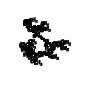 CC(=O)O[C@H]1C[C@@H]2CC[C@@H]3[C@H](CC[C@@]4(C)[C@H]3C[C@H]([N+]3(C)CCCCC3)[C@@H]4OC(C)=O)[C@@]2(C)C[C@@H]1N1CCCCC1.COc1ccc(CC2c3cc(OC)c(OC)cc3CC[N+]2(C)CCC(=O)OCCCCCOC(=O)CC[N+]2(C)CCc3cc(OC)c(OC)cc3C2Cc2ccc(OC)c(OC)c2)cc1OC